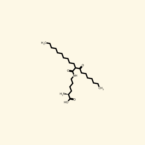 CCCCCCCCCCC(C(=O)CCCCCCC)C(=O)NCCCC[C@H](N)C(=O)O